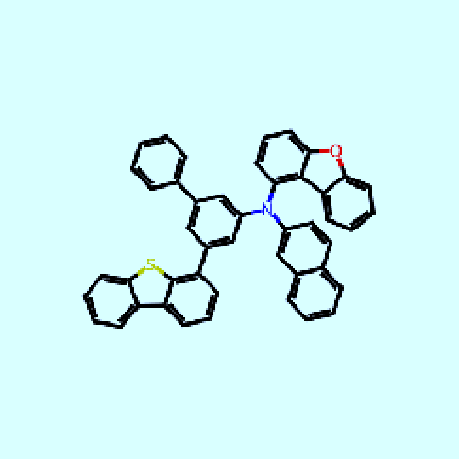 c1ccc(-c2cc(-c3cccc4c3sc3ccccc34)cc(N(c3ccc4ccccc4c3)c3cccc4oc5ccccc5c34)c2)cc1